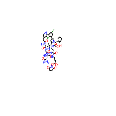 CC(C)(C)[C@H](c1cc(-c2cc(F)ccc2F)cn1Cc1ccccc1)N(CC[C@H](NC(=O)[C@H](CC(N)=O)NC(=O)CNC(=O)CNC(=O)Cc1ccncc1)C(=O)NCCCC(=O)ON1C(=O)CCC1=O)C(=O)CO